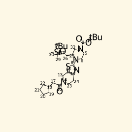 CC(C)(C)OC(=O)N1CCN(c2nc3c(s2)CN(C(=O)CC2CCCC2)CC3)[C@@H](CO[Si](C)(C)C(C)(C)C)C1